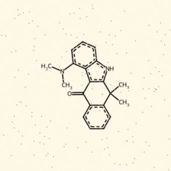 CN(C)c1cccc2[nH]c3c(c12)C(=O)c1ccccc1C3(C)C